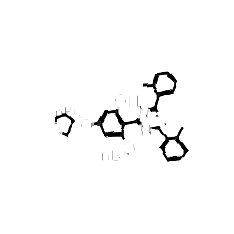 C1CCOC1.CCCCOc1cc(O)c(-c2nc(-c3ccccc3C)nc(-c3ccccc3C)n2)c(OCCCC)c1